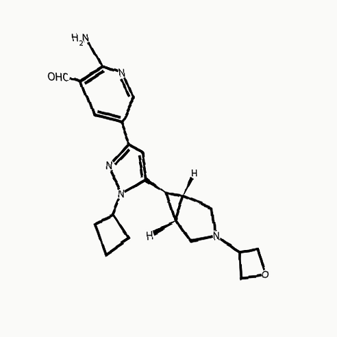 Nc1ncc(-c2cc([C@H]3[C@@H]4CN(C5COC5)C[C@@H]43)n(C3CCC3)n2)cc1C=O